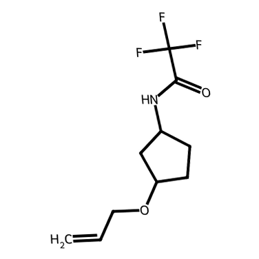 C=CCOC1CCC(NC(=O)C(F)(F)F)C1